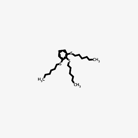 CCCCCCSc1c[c]cc(SCCCCCC)c1SCCCCCC